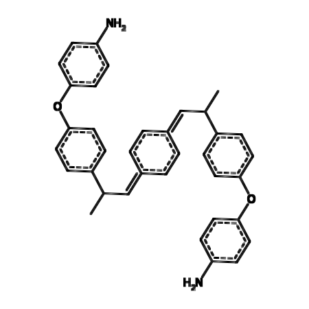 CC(C=c1ccc(=CC(C)c2ccc(Oc3ccc(N)cc3)cc2)cc1)c1ccc(Oc2ccc(N)cc2)cc1